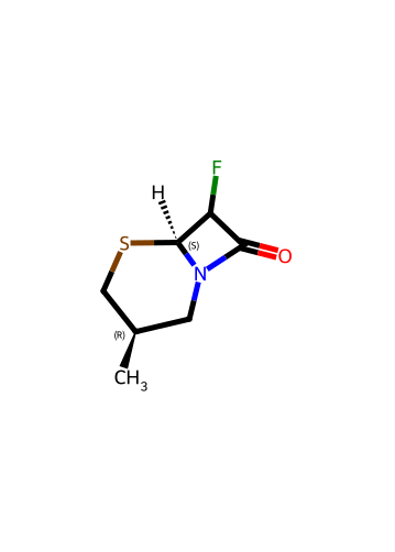 C[C@H]1CS[C@H]2C(F)C(=O)N2C1